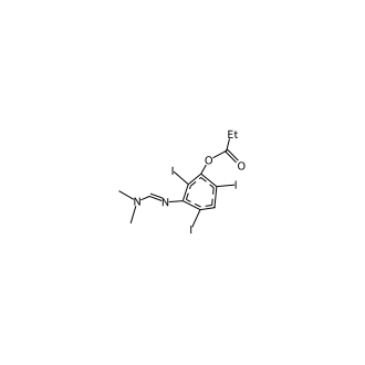 CCC(=O)Oc1c(I)cc(I)c(N=CN(C)C)c1I